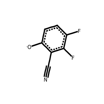 N#Cc1c([O])ccc(F)c1F